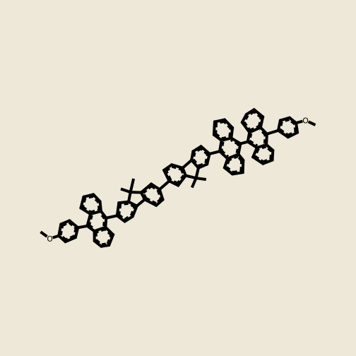 COc1ccc(-c2c3ccccc3c(-c3ccc4c(c3)C(C)(C)c3cc(-c5ccc6c(c5)C(C)(C)c5cc(-c7c8ccccc8c(-c8c9ccccc9c(-c9ccc(OC)cc9)c9ccccc89)c8ccccc78)ccc5-6)ccc3-4)c3ccccc23)cc1